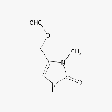 Cn1c(COC=O)c[nH]c1=O